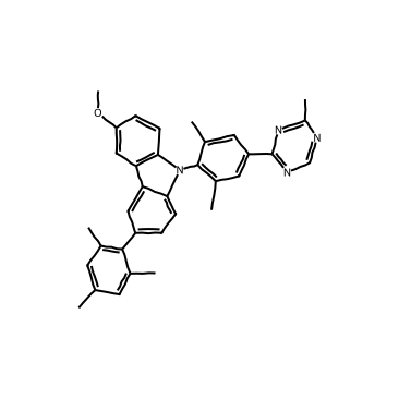 COc1ccc2c(c1)c1cc(-c3c(C)cc(C)cc3C)ccc1n2-c1c(C)cc(-c2ncnc(C)n2)cc1C